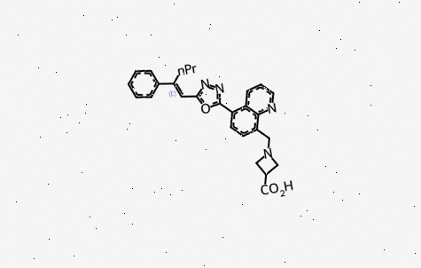 CCC/C(=C\c1nnc(-c2ccc(CN3CC(C(=O)O)C3)c3ncccc23)o1)c1ccccc1